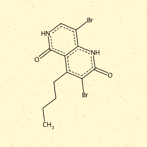 CCCCc1c(Br)c(=O)[nH]c2c(Br)c[nH]c(=O)c12